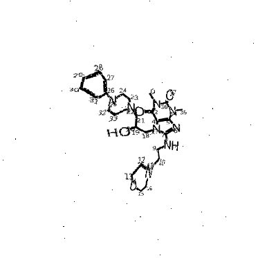 Cn1c(=O)c2c(nc(NCCN3CCOCC3)n2CC(O)CN2CCN(c3ccccc3)CC2)n(C)c1=O